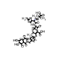 C[C@@H]1S[C@@H]2[C@H](NC(=O)/C(=N\OC(C)(C)C(=O)O)c3csc(N)n3)C(=O)N2C(C(=O)O)=C1C[N+]12CCC(Cn3[nH]c(=O)c4cc(O)c(O)c(Cl)c4c3=O)(CC1)CC2